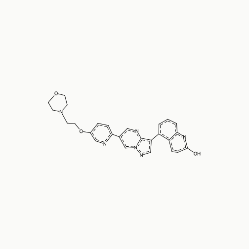 Oc1ccc2c(-c3cnn4cc(-c5ccc(OCCN6CCOCC6)cn5)cnc34)cccc2n1